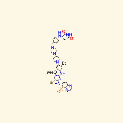 CCc1cc(Nc2ncc(Br)c(Nc3ccc4nccnc4c3P(C)(C)=O)n2)c(OC)cc1N1CCC(N2CCN(Cc3ccc(NC4CCC(=O)NC4=O)cc3)CC2)CC1